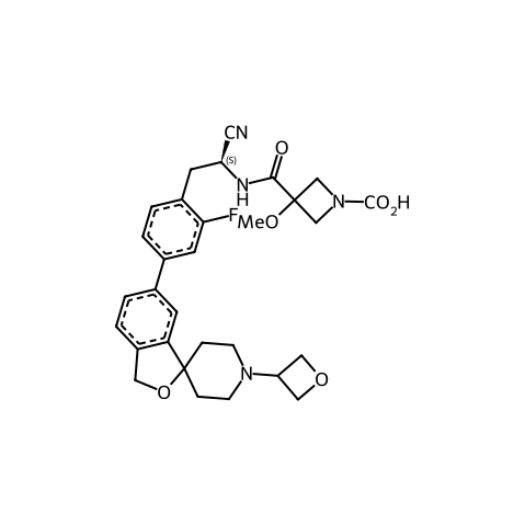 COC1(C(=O)N[C@H](C#N)Cc2ccc(-c3ccc4c(c3)C3(CCN(C5COC5)CC3)OC4)cc2F)CN(C(=O)O)C1